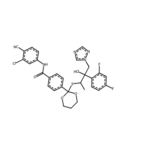 CC(SC1(c2ccc(C(=O)Nc3ccc(C#N)c(Cl)c3)cc2)OCCCO1)C(O)(Cn1cncn1)c1ccc(F)cc1F